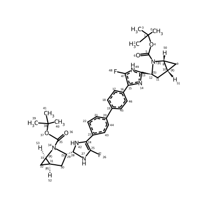 CC(C)(C)OC(=O)N1[C@@H]2C[C@@H]2C[C@H]1c1nc(-c2ccc(-c3ccc(C4=C(F)NC([C@@H]5C[C@H]6C[C@H]6N5C(=O)OC(C)(C)C)N4)cc3)cc2)c(F)[nH]1